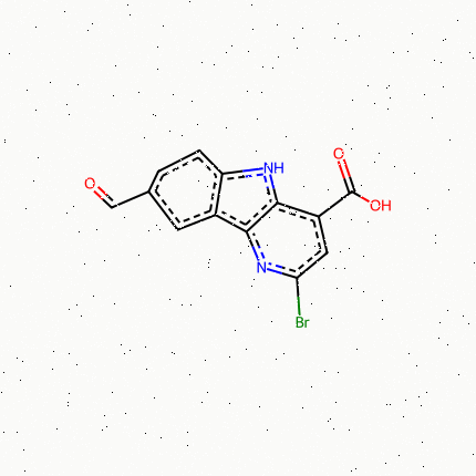 O=Cc1ccc2[nH]c3c(C(=O)O)cc(Br)nc3c2c1